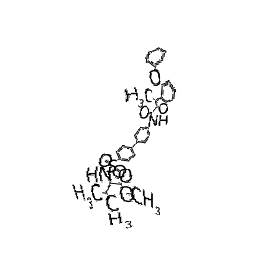 COC(=O)C(NS(=O)(=O)c1ccc(-c2ccc(NC(=O)c3oc4cccc(Oc5ccccc5)c4c3C)cc2)cc1)C(C)C